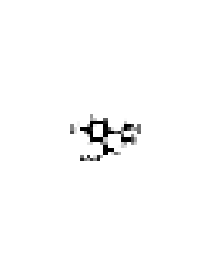 COC(=O)c1cc(Br)ccc1-n1cnnc1